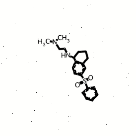 CN(C)CCNC1CCCc2cc(S(=O)(=O)c3ccccc3)ccc21